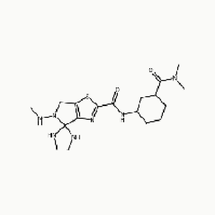 CNN1Cc2sc(C(=O)NC3[CH]CCC(C(=O)N(C)C)C3)nc2C1(NC)NC